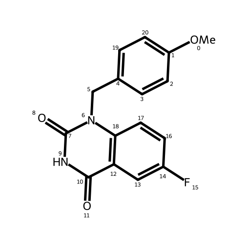 COc1ccc(Cn2c(=O)[nH]c(=O)c3cc(F)ccc32)cc1